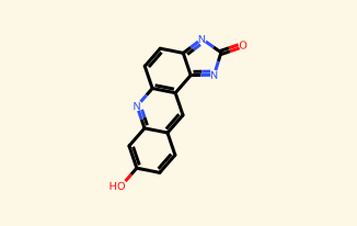 O=C1N=c2ccc3nc4cc(O)ccc4cc3c2=N1